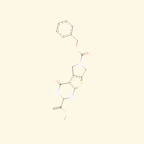 C=C(OCC)C1NC(=O)c2c(sc3c2CN(C(=O)OCc2ccccc2)C3)N1